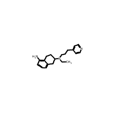 CCN(CCCc1ccncc1)C1CCc2c(N)cccc2C1